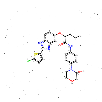 CCCC(Oc1ccc2[nH]c(-c3ccc(Cl)s3)nc2c1)C(=O)Nc1ccc(N2CCOCC2=O)cc1